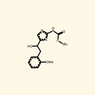 COc1ccccc1CC(O)c1cnc(NC(=O)OC(C)(C)C)s1